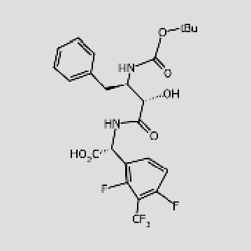 CC(C)(C)OC(=O)N[C@H](Cc1ccccc1)[C@H](O)C(=O)N[C@@H](C(=O)O)c1ccc(F)c(C(F)(F)F)c1F